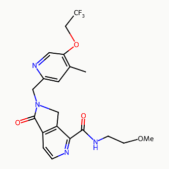 COCCNC(=O)c1nccc2c1CN(Cc1cc(C)c(OCC(F)(F)F)cn1)C2=O